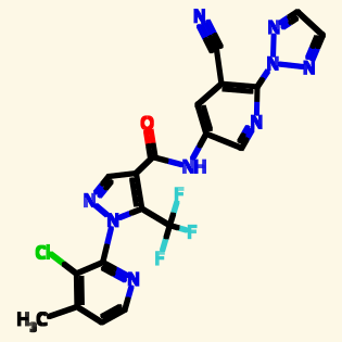 Cc1ccnc(-n2ncc(C(=O)Nc3cnc(-n4nccn4)c(C#N)c3)c2C(F)(F)F)c1Cl